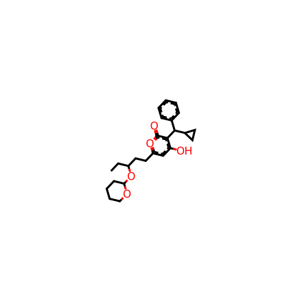 CCC(CCc1cc(O)c(C(c2ccccc2)C2CC2)c(=O)o1)OC1CCCCO1